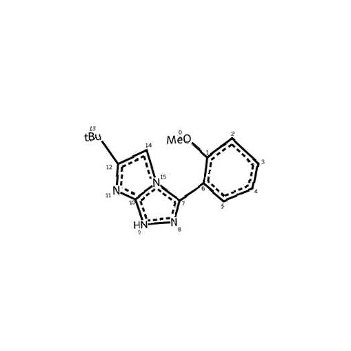 COc1ccccc1-c1n[nH]c2nc(C(C)(C)C)cn12